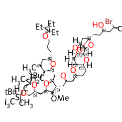 C=C(Br)C[C@@H](O)CC[C@@]12C[C@@H]3O[C@@H]4[C@@H](O1)[C@H]1O[C@H](CC(=O)C[C@@H]5[C@@H](OC)[C@@H](C[C@@H](CO[Si](C)(C)C(C)(C)C)O[Si](C)(C)C(C)(C)C)O[C@H]5C[C@H]5O[C@@H](CCCO[Si](CC)(CC)CC)C[C@@H](C)C5=C)CC[C@@H]1O[C@@H]4[C@H]3O2